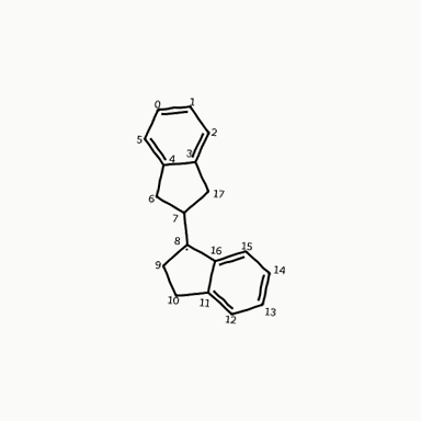 c1ccc2c(c1)CC([C]1CCc3ccccc31)C2